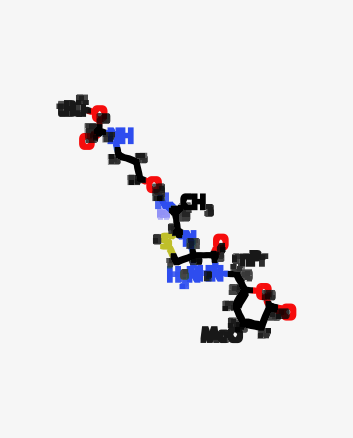 CCC[C@@H](NC(=O)[C@]1(N)CSC(/C(C)=N/OCCCNC(=O)OC(C)(C)C)=N1)c1cc(OC)cc(=O)o1